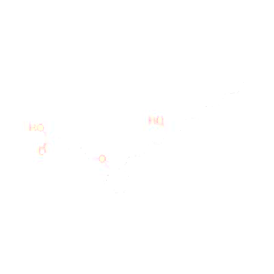 CCCCCCCCC(O)C=CC=Cc1ccccc1OCCCCC(=O)O